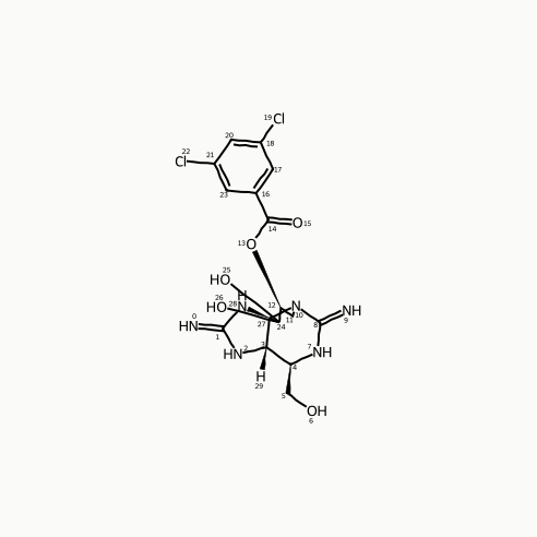 N=C1N[C@H]2[C@H](CO)NC(=N)N3C[C@H](OC(=O)c4cc(Cl)cc(Cl)c4)C(O)(O)[C@]23N1